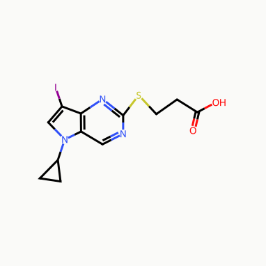 O=C(O)CCSc1ncc2c(n1)c(I)cn2C1CC1